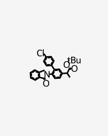 CC(C(=O)OC(C)(C)C)c1ccc(N2Cc3ccccc3C2=O)c(-c2ccc(Cl)cc2)c1